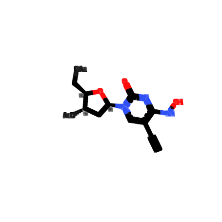 C#Cc1cn([C@H]2C[C@H](OC(C)=O)[C@@H](COC(C)=O)O2)c(=O)nc1NO